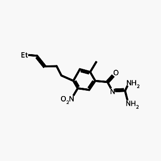 CC/C=C/CCc1cc(C)c(C(=O)N=C(N)N)cc1[N+](=O)[O-]